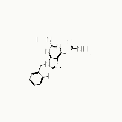 NC(=O)Sc1nc(N)nc2c1ncn2Cc1ccccc1F